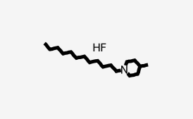 CCCCCCCCCCCCN1CCC(C)CC1.F